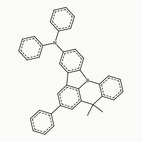 CC1(C)c2ccccc2B2c3ccc(N(c4ccccc4)c4ccccc4)cc3-c3cc(-c4ccccc4)cc1c32